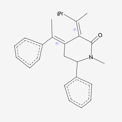 C/C(=C1/CC(c2ccccc2)N(C)C(=O)/C1=C(\C)C(C)C)c1ccccc1